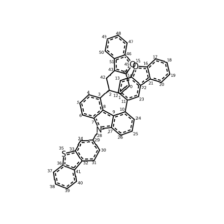 C1=CC(c2cccc3c2c2c(-c4ccc5oc6ccccc6c5c4)cccc2n3-c2ccc3c(c2)sc2ccccc23)Cc2c1oc1ccccc21